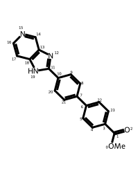 COC(=O)c1ccc(-c2ccc(-c3nc4cnccc4[nH]3)cc2)cc1